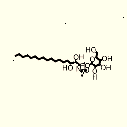 CCCCCCCCCCCCCC[C@@H](O)[C@@H](O)[C@H](COC1OC(CO)C(O)C(O)C1O)/N=[SH](/C)=O